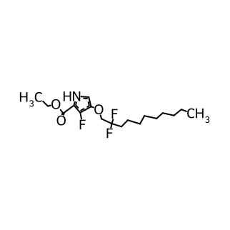 CCCCCCCCCC(F)(F)COc1c[nH]c(C(=O)OCC)c1F